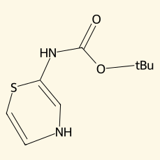 CC(C)(C)OC(=O)NC1=CNC=CS1